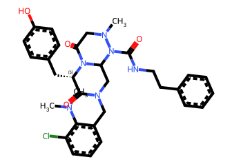 CN(C)c1c(Cl)cccc1CN1CC2N(C(=O)CN(C)N2C(=O)NCCc2ccccc2)[C@@H](Cc2ccc(O)cc2)C1=O